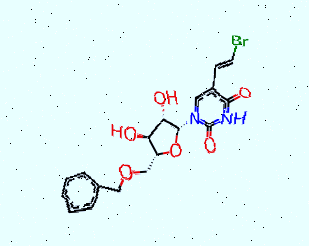 O=c1[nH]c(=O)n([C@@H]2O[C@H](COCc3ccccc3)[C@@H](O)[C@@H]2O)cc1/C=C/Br